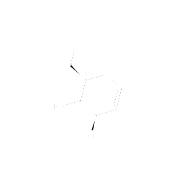 OC[C@H]1OC=C[C@@H](O)C1O